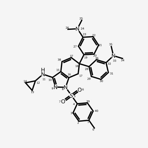 Cc1ccc(S(=O)(=O)n2nc(NC3CC3)c3c2CC(c2cccc(N(C)C)c2)(c2cccc(N(C)C)c2)C=C3)cc1